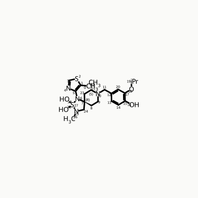 Cc1scnc1N1[C@@]2(CCN(Cc3ccc(O)c(OC(C)C)c3)[C@@H](C)C2)CN(C)S1(O)O